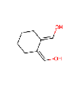 O/C=C1/CCCC/C1=C\O